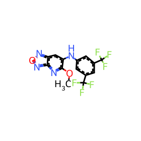 COc1nc2nonc2cc1Nc1cc(C(F)(F)F)cc(C(F)(F)F)c1